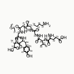 CSCC[C@H](NC(=O)[C@H](C)NC(=O)[C@H](CCCCN)NC(=O)CNC(=O)[C@@H](NC(=O)[C@@H](N)CCC(=O)O)C(C)C)C(=O)N[C@@H](Cc1ccc(O)cc1)C(=O)N[C@@H](C)C(=O)O